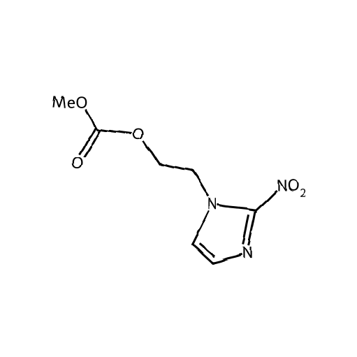 COC(=O)OCCn1ccnc1[N+](=O)[O-]